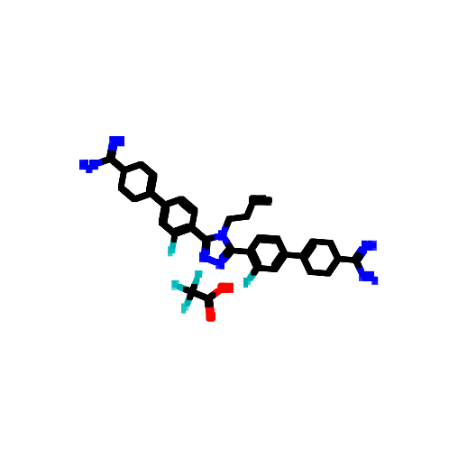 COCCn1c(-c2ccc(C3=CCC(C(=N)N)CC3)cc2F)nnc1-c1ccc(C2=CCC(C(=N)N)CC2)cc1F.O=C(O)C(F)(F)F